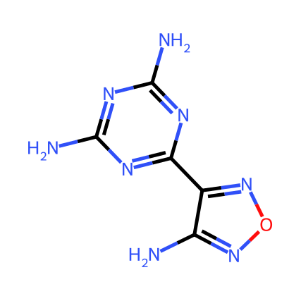 Nc1nc(N)nc(-c2nonc2N)n1